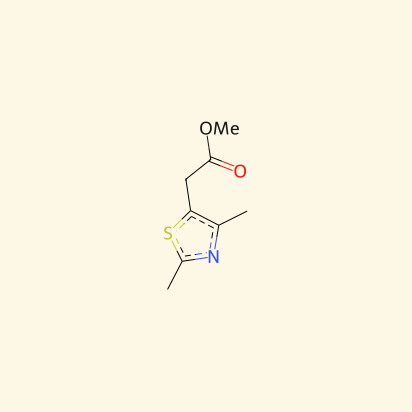 COC(=O)Cc1sc(C)nc1C